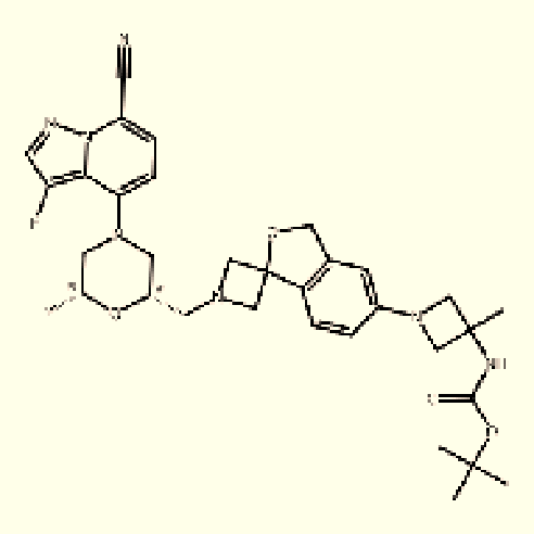 C[C@@H]1CN(c2ccc(C#N)n3ncc(F)c23)C[C@H](CN2CC3(C2)OCc2cc(N4CC(C)(NC(=O)OC(C)(C)C)C4)ccc23)O1